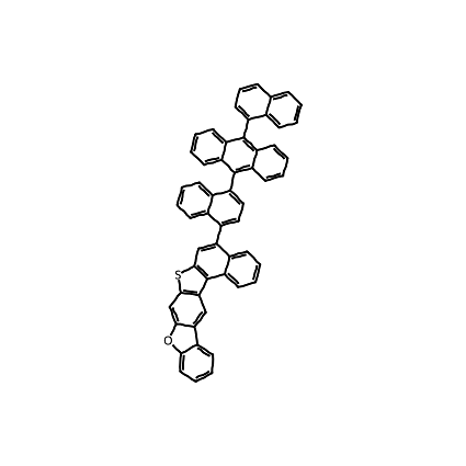 c1ccc2c(-c3c4ccccc4c(-c4ccc(-c5cc6sc7cc8oc9ccccc9c8cc7c6c6ccccc56)c5ccccc45)c4ccccc34)cccc2c1